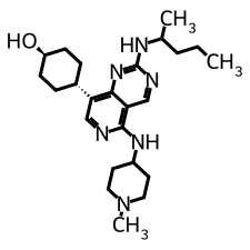 CCCC(C)Nc1ncc2c(NC3CCN(C)CC3)ncc([C@H]3CC[C@H](O)CC3)c2n1